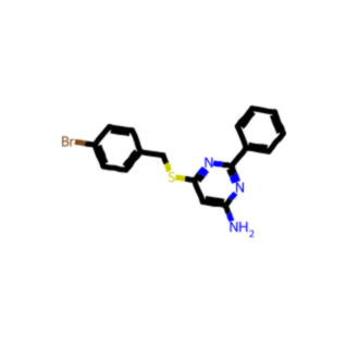 Nc1cc(SCc2ccc(Br)cc2)nc(-c2ccccc2)n1